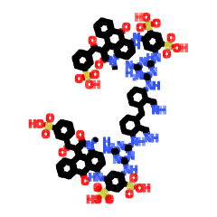 Cn1c(=O)c(C(=O)c2cccc(S(=O)(=O)O)c2)c2c3c(c(Nc4cc(Nc5nc(N)nc(NC6CCCC(CC7CCCC(Nc8nc(N)nc(Nc9cc(Nc%10ccc%11c%12c%10C(=O)c%10ccccc%10-c%12c(C(=O)c%10cccc(S(=O)(=O)O)c%10)c(=O)n%11C)c(S(=O)(=O)O)cc9S(=O)(=O)O)n8)C7C=N)C6C=N)n5)c(S(=O)(=O)O)cc4S(=O)(=O)O)ccc31)C(=O)c1ccccc1-2